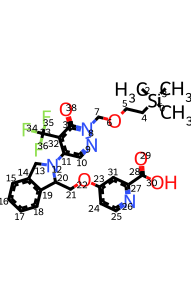 C[Si](C)(C)CCOCn1ncc(N2Cc3ccccc3C2COc2ccnc(C(=O)O)c2)c(C(F)(F)F)c1=O